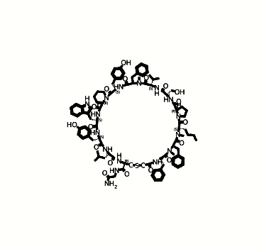 CCCC[C@H]1C(=O)N2CCC[C@@H]2C(=O)N[C@@H](CO)C(=O)N[C@@H](C(C)C)C(=O)N(C)C(Cc2ccccc2)C(=O)N[C@@H](Cc2ccc(O)cc2)C(=O)N2CCCC[C@@H]2C(=O)N[C@@H](Cc2c[nH]c3ccccc23)C(=O)N[C@@H](Cc2ccc(O)cc2)C(=O)N[C@@H](CC(C)C)C(=O)N[C@H](C(=O)NCC(N)=O)CSCC(=O)N[C@@H](Cc2ccccc2)C(=O)N(C)C(Cc2ccccc2)C(=O)N1C